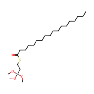 CCCCCCCCCCCCCCCCCC(=O)SCC[Si](OC)(OC)OC